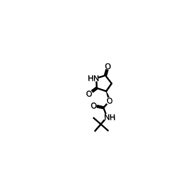 CC(C)(C)NC(=O)O[C@@H]1CC(=O)NC1=O